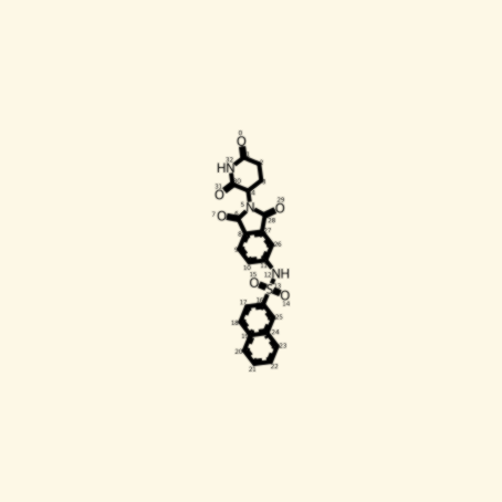 O=C1CCC(N2C(=O)c3ccc(NS(=O)(=O)c4ccc5ccccc5c4)cc3C2=O)C(=O)N1